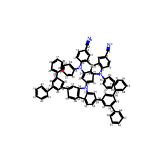 N#Cc1ccc2c(c1)B1c3cc(C#N)ccc3N(c3ccccc3)c3cc(-n4c5cc(-c6cc(-c7ccccc7)cc(-c7ccccc7)c6)ccc5c5ccc(-c6cc(-c7ccccc7)cc(-c7ccccc7)c6)cc54)cc(c31)N2c1ccccc1